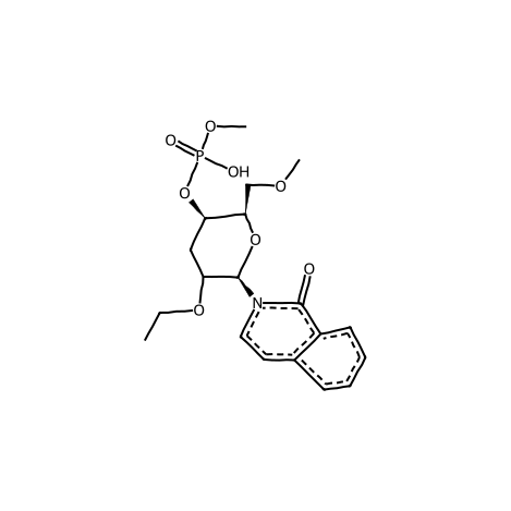 CCOC1C[C@@H](OP(=O)(O)OC)[C@@H](COC)O[C@H]1n1ccc2ccccc2c1=O